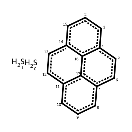 S.S.c1cc2ccc3cccc4ccc(c1)c2c34